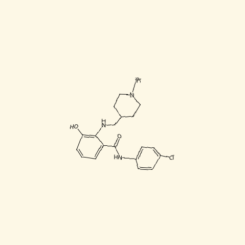 CC(C)N1CCC(CNc2c(O)cccc2C(=O)Nc2ccc(Cl)cc2)CC1